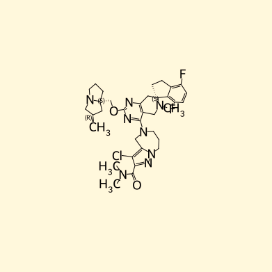 C[C@H]1CN2CCC[C@@]2(COc2nc3c(c(N4CCCn5nc(C(=O)N(C)C)c(Cl)c5C4)n2)CN(C)[C@@]2(CCc4c(F)ccc(F)c42)C3)C1